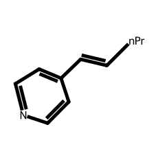 CCC/C=C/c1ccncc1